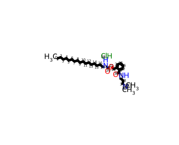 CCCCCCCCCCCCCCCCCCNC(=O)OCc1ccccc1C(=O)NCCCN(C)C.Cl